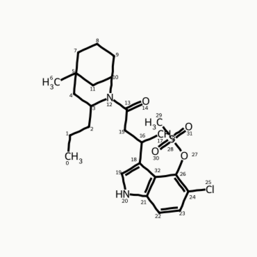 CCCC1CC2(C)CCCC(C2)N1C(=O)CC(C)c1c[nH]c2ccc(Cl)c(OS(C)(=O)=O)c12